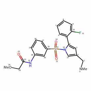 CNCc1cc(-c2ccccc2F)n(S(=O)(=O)c2cccc(NC(=O)COC)c2)c1